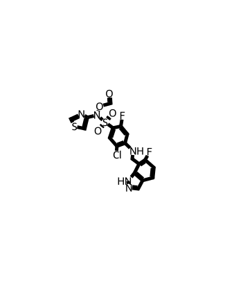 O=CON(c1cscn1)S(=O)(=O)c1cc(Cl)c(NCc2c(F)ccc3cn[nH]c23)cc1F